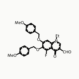 CCn1cc(C=O)c(=O)c2c(F)c(OCc3ccc(OC)cc3)c(OCc3ccc(OC)cc3)cc21